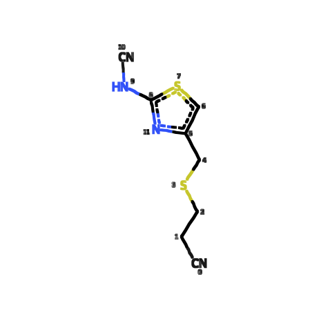 N#CCCSCc1csc(NC#N)n1